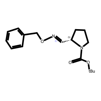 CC(C)(C)OC(=O)N1CCC[C@H]1/C=N/OCc1ccccc1